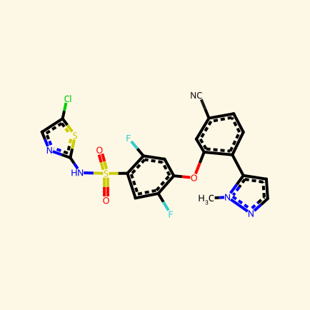 Cn1nccc1-c1ccc(C#N)cc1Oc1cc(F)c(S(=O)(=O)Nc2ncc(Cl)s2)cc1F